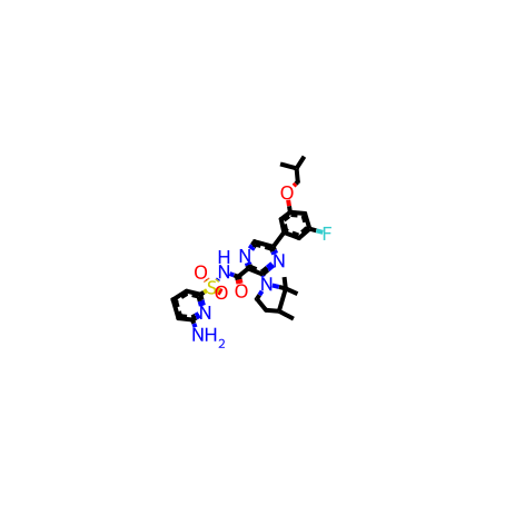 CC(C)COc1cc(F)cc(-c2cnc(C(=O)NS(=O)(=O)c3cccc(N)n3)c(N3CCC(C)C3(C)C)n2)c1